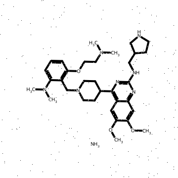 COc1cc2nc(NCC3CCNC3)nc(C3CCN(Cc4c(OCCN(C)C)cccc4N(C)C)CC3)c2cc1OC.N